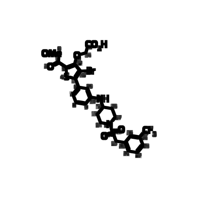 COC(=O)c1sc(-c2cccc(NC3CCN(S(=O)(=O)Cc4cccc(C(F)(F)F)c4)CC3)c2)c(Br)c1OCC(=O)O